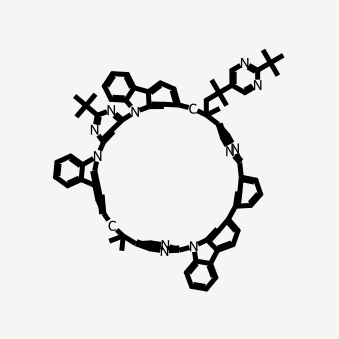 CC(C)(C)c1ncc(C(C)(C)CC2(C)Cc3ccc4c5ccccc5n(c4c3)-c3cc(nc(C(C)(C)C)n3)-n3c4ccccc4c4cc(ccc43)CC(C)(C)c3cnc(nc3)-n3c4ccccc4c4ccc(cc43)-c3cccc(c3)-c3ncc2cn3)cn1